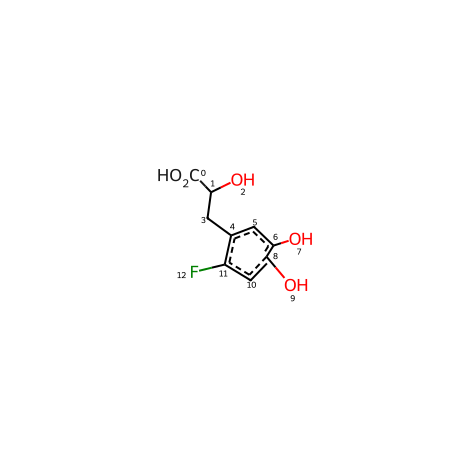 O=C(O)C(O)Cc1cc(O)c(O)cc1F